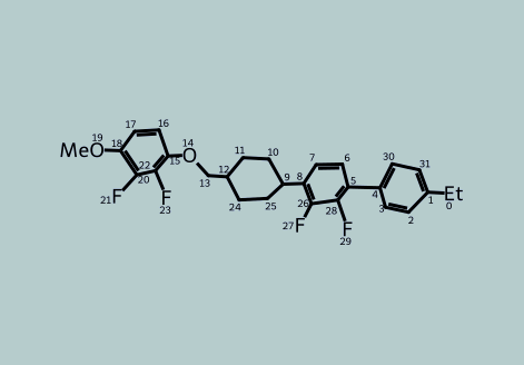 CCc1ccc(-c2ccc(C3CCC(COc4ccc(OC)c(F)c4F)CC3)c(F)c2F)cc1